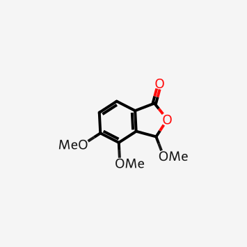 COc1ccc2c(c1OC)C(OC)OC2=O